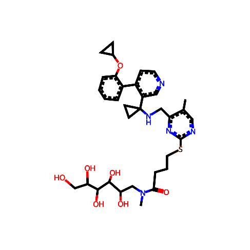 Cc1cnc(SCCCC(=O)N(C)CC(O)C(O)C(O)C(O)CO)nc1CNC1(c2cnccc2-c2ccccc2OC2CC2)CC1